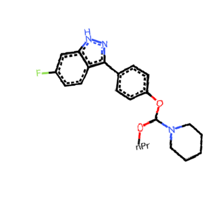 CCCOC(Oc1ccc(-c2n[nH]c3cc(F)ccc23)cc1)N1CCCCC1